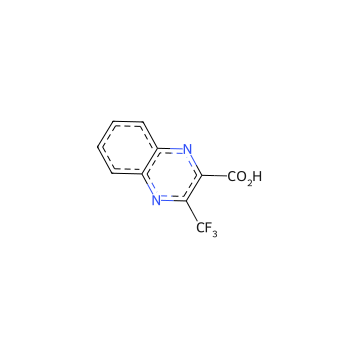 O=C(O)c1nc2ccccc2nc1C(F)(F)F